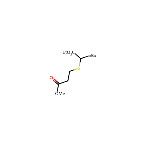 CCCCC(SCCC(=O)OC)C(=O)OCC